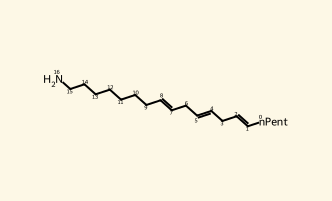 CCCCC/C=C/C/C=C/C/C=C/CCCCCCCN